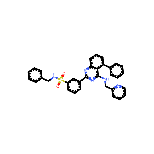 O=S(=O)(NCc1ccccc1)c1cccc(-c2nc(NCc3ccccn3)c3c(-c4ccccc4)cccc3n2)c1